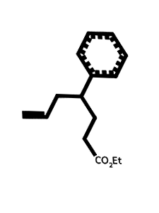 C=CCC(CCC(=O)OCC)c1ccccc1